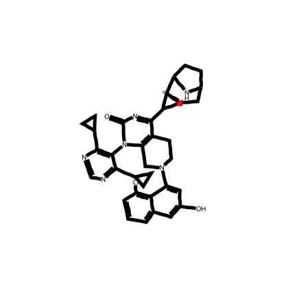 O=c1nc(C2C3CC4CCC(N4)[C@H]32)c2c(n1-c1c(C3CC3)ncnc1C1CC1)CN(c1cc(O)cc3cccc(Cl)c13)CC2